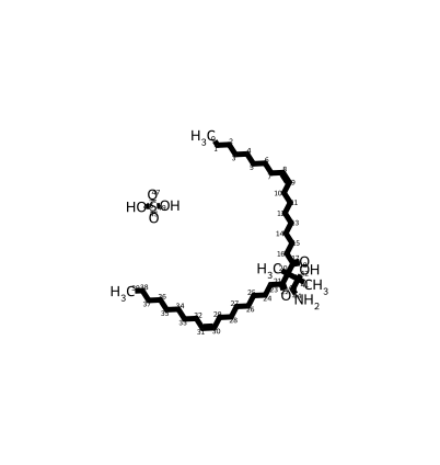 CCCCCCCC/C=C\CCCCCCCC(=O)C(C)(C(=O)CCCCCCC/C=C\CCCCCCCC)C(C)(O)CN.O=S(=O)(O)O